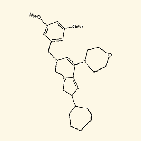 COc1cc(CN2C=C(N3CCOCC3)C3=NC(C4CCCCC4)CN3C2)cc(OC)c1